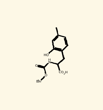 Cc1ccc(CC(NC(=O)OC(C)(C)C)C(=O)O)c(O)c1